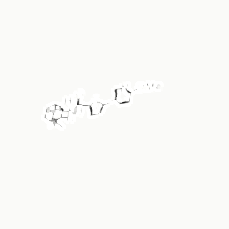 COc1ccc(-c2ccc(C(=O)N[C@@H]3C4CCN(CC4)[C@H]3C)s2)cn1